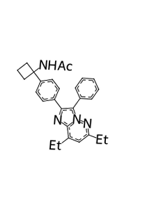 CCc1cc(CC)c2nc(-c3ccc(C4(NC(C)=O)CCC4)cc3)c(-c3ccccc3)n2n1